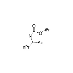 CCCC(NC(=O)OC(C)C)C(C)=O